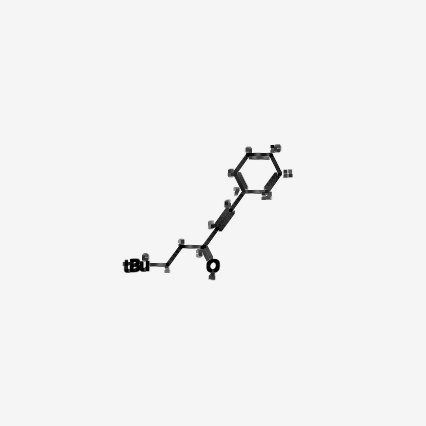 CC(C)(C)CCC(=O)C#Cc1ccccc1